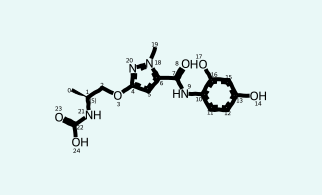 C[C@@H](COc1cc(C(=O)Nc2ccc(O)cc2O)n(C)n1)NC(=O)O